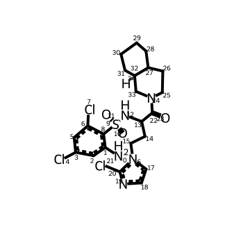 Nc1cc(Cl)cc(Cl)c1S(=O)(=O)NC(CCn1ccnc1Cl)C(=O)N1CCC2CCCC[C@@H]2C1